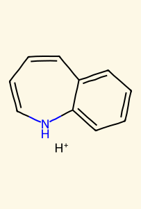 C1=CNc2ccccc2C=C1.[H+]